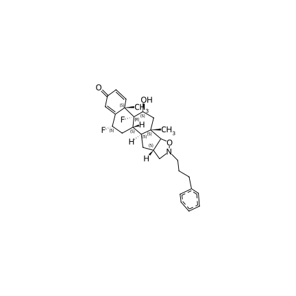 C[C@]12C=CC(=O)C=C1[C@@H](F)C[C@H]1[C@@H]3C[C@H]4CN(CCCc5ccccc5)OC4[C@@]3(C)C[C@H](O)[C@@]12F